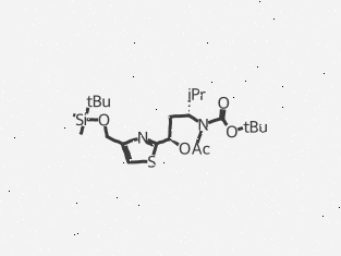 CC(=O)O[C@H](C[C@H](C(C)C)N(C)C(=O)OC(C)(C)C)c1nc(CO[Si](C)(C)C(C)(C)C)cs1